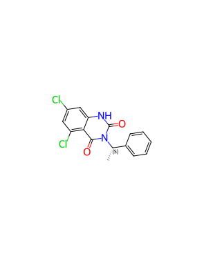 C[C@@H](c1ccccc1)n1c(=O)[nH]c2cc(Cl)cc(Cl)c2c1=O